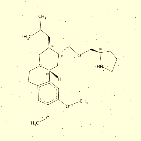 COc1cc2c(cc1OC)[C@H]1C[C@@H](COC[C@H]3CCCN3)[C@H](CC(C)C)CN1CC2